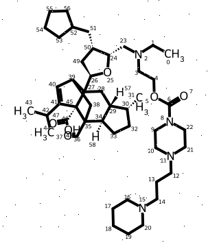 CCN(CCOC(=O)N1CCN(CCCN2CCCCC2)CC1)C[C@@H]1O[C@@H](C23C[C@@H]4[C@H](C)CC[C@H]4C4(C=O)CC2C=C(C(C)C)[C@]43C(=O)O)C[C@@H]1CC1CCCC1